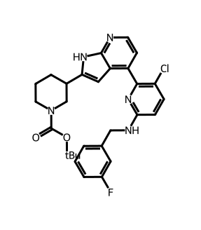 CC(C)(C)OC(=O)N1CCCC(c2cc3c(-c4nc(NCc5cccc(F)c5)ccc4Cl)ccnc3[nH]2)C1